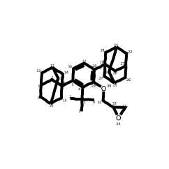 CC(C)(C)c1c(C23CC4CC(CC(C4)C2)C3)ccc(C23CC4CC(CC(C4)C2)C3)c1OCC1CO1